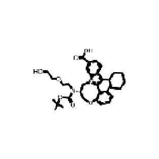 Cc1cccc2c1-c1c(C3CCCCC3)c3ccc(C(=O)O)cc3n1C[C@@H](N(CCOCCO)C(=O)OC(C)(C)C)CO2